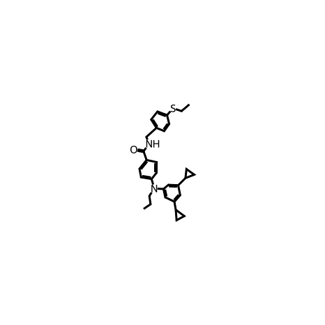 CCCN(c1ccc(C(=O)NCc2ccc(SCC)cc2)cc1)c1cc(C2CC2)cc(C2CC2)c1